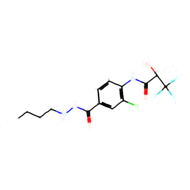 CCCCNNC(=O)c1ccc(NC(=O)[C@@](C)(O)C(F)(F)F)c(Cl)c1